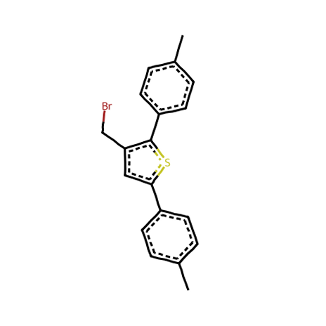 Cc1ccc(-c2cc(CBr)c(-c3ccc(C)cc3)s2)cc1